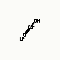 [Li+].[O]=[Co-][OH]